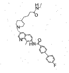 CCNC(=O)CCCC1CCN(Cc2cnc3c(C)c(NC(=O)c4ccc(-c5ccc(F)cc5)cc4)ccc3c2)CC1